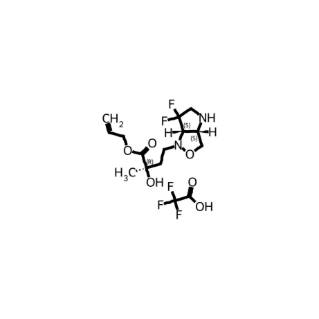 C=CCOC(=O)[C@](C)(O)CCN1OC[C@H]2NCC(F)(F)[C@H]21.O=C(O)C(F)(F)F